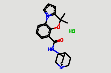 CC1(C)Oc2c(C(=O)NC3CN4CCC3CC4)cccc2-n2cccc21.Cl